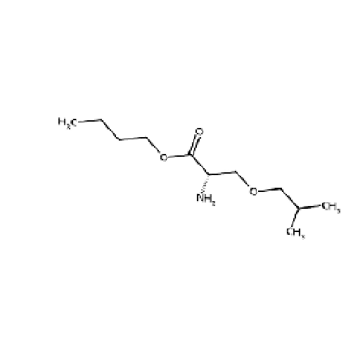 CCCCOC(=O)[C@@H](N)COCC(C)C